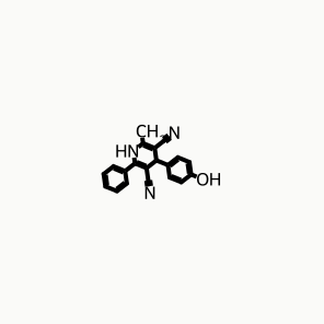 CC1=C(C#N)C(c2ccc(O)cc2)C(C#N)=C(c2ccccc2)N1